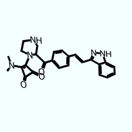 CN(C)c1c(N2CCNCC2C(=O)c2ccc(C=Cc3n[nH]c4ccccc34)cc2)c(=O)c1=O